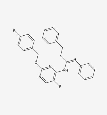 Fc1ccc(COc2ncc(F)c(N/C(CCc3ccccc3)=N\c3ccccc3)n2)cc1